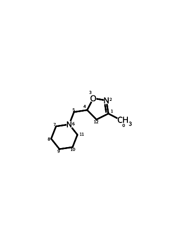 CC1=NOC(CN2CCCCC2)C1